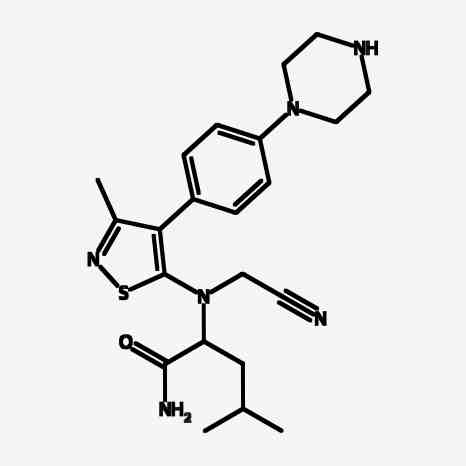 Cc1nsc(N(CC#N)C(CC(C)C)C(N)=O)c1-c1ccc(N2CCNCC2)cc1